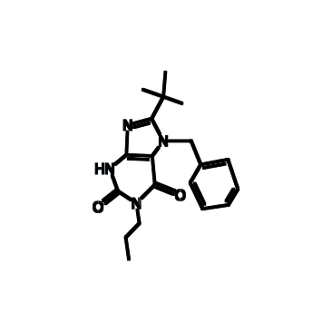 CCCn1c(=O)[nH]c2nc(C(C)(C)C)n(Cc3ccccc3)c2c1=O